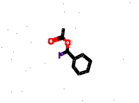 CC(=O)OC(I)C1CCCCC1